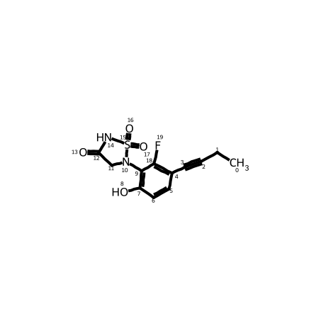 CCC#Cc1ccc(O)c(N2CC(=O)NS2(=O)=O)c1F